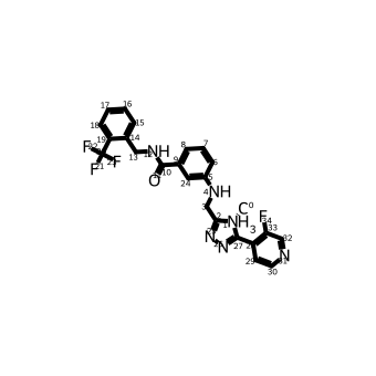 Cn1c(CNc2cccc(C(=O)NCc3ccccc3C(F)(F)F)c2)nnc1-c1ccncc1F